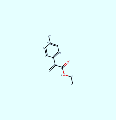 C=C(C(=O)OCC)c1ccc(C)cc1